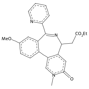 CCOC(=O)CC1N=C(c2ccccn2)c2cc(OC)ccc2-c2cn(C)c(=O)cc21